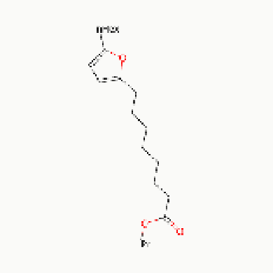 CCCCCCc1ccc(CCCCCCCC(=O)OC(C)C)o1